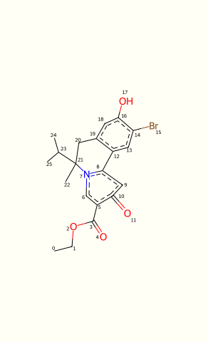 CCOC(=O)c1cn2c(cc1=O)-c1cc(Br)c(O)cc1CC2(C)C(C)C